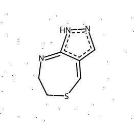 C1=c2cn[nH]c2=NCCS1